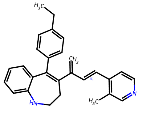 C=C(/C=C/c1ccncc1C)C1=C(c2ccc(CC)cc2)c2ccccc2NCC1